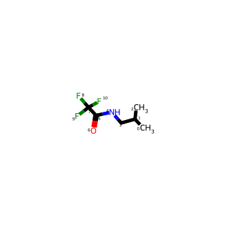 CC(C)CNC(=O)C(F)(F)F